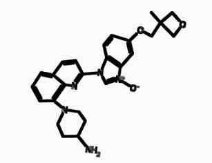 CC1(COc2ccc3c(c2)[n+]([O-])cn3-c2ccc3cccc(N4CCC(N)CC4)c3n2)COC1